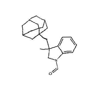 CC1(CC23CC4CC(CC(C4)C2)C3)CN(C=O)c2ccccc21